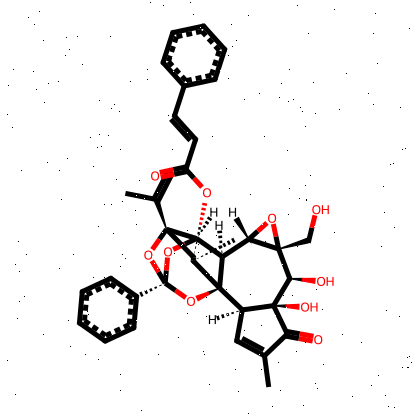 C=C(C)[C@@]12O[C@@]3(c4ccccc4)O[C@@H]1[C@H]1[C@@H]4O[C@]4(CO)[C@@H](O)[C@]4(O)C(=O)C(C)=C[C@H]4[C@]1(O3)[C@H](C)[C@H]2OC(=O)/C=C/c1ccccc1